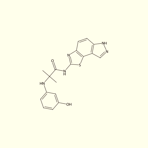 CC(C)(Nc1cccc(O)c1)C(=O)Nc1nc2ccc3[nH]ncc3c2s1